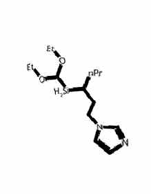 CCCC(CCn1ccnc1)[SiH2]C(OCC)OCC